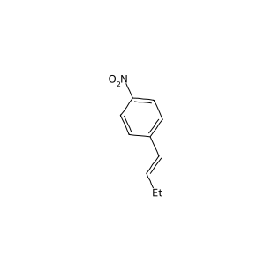 CCC=Cc1ccc([N+](=O)[O-])cc1